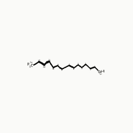 OCCCCCCCCCCCCCC(F)(F)F